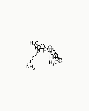 Cc1nn(CCCCCCCCN)c2cc(C(=O)Nc3cc4[nH]c([C@H]5CCCN5C)cc4cn3)ccc12